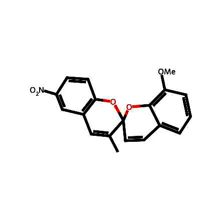 COc1cccc2c1OC1(C=C2)Oc2ccc([N+](=O)[O-])cc2C=C1C